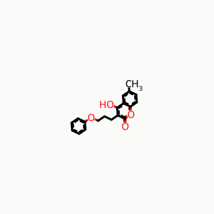 Cc1ccc2oc(=O)c(CCCOc3ccccc3)c(O)c2c1